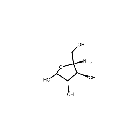 N[C@]1(CO)OC(O)[C@H](O)[C@@H]1O